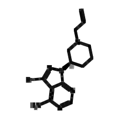 C=CCN1CCC[C@@H](n2nc(Br)c3c(N)ncnc32)C1